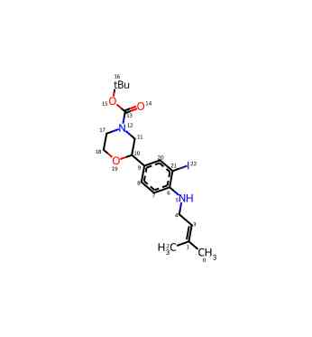 CC(C)=CCNc1ccc(C2CN(C(=O)OC(C)(C)C)CCO2)cc1I